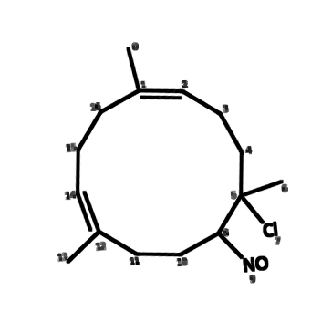 C/C1=C/CCC(C)(Cl)C(N=O)CC/C(C)=C\CC1